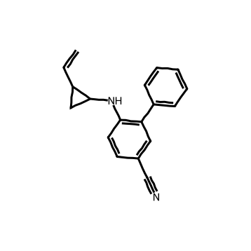 C=CC1CC1Nc1ccc(C#N)cc1-c1ccccc1